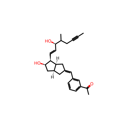 CC#CCC(C)[C@H](O)C=C[C@H]1[C@H]2CC(=Cc3cccc(C(C)=O)c3)C[C@H]2C[C@H]1O